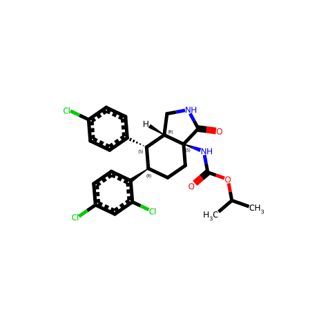 CC(C)OC(=O)N[C@@]12CC[C@@H](c3ccc(Cl)cc3Cl)[C@H](c3ccc(Cl)cc3)[C@@H]1CNC2=O